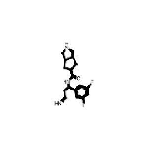 N=CCC(NC(=O)C1CC2CNCC2C1)c1cc(F)cc(F)c1